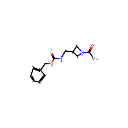 CC(C)COC(=O)N1CC(CNC(=O)OCc2ccccc2)C1